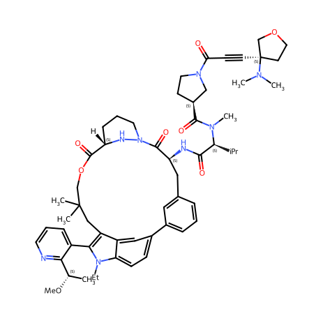 CCn1c(-c2cccnc2[C@H](C)OC)c2c3cc(ccc31)-c1cccc(c1)C[C@H](NC(=O)[C@H](C(C)C)N(C)C(=O)[C@H]1CCN(C(=O)C#C[C@@]3(N(C)C)CCOC3)C1)C(=O)N1CCC[C@H](N1)C(=O)OCC(C)(C)C2